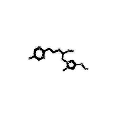 CSC(C[n+]1cc(OC(C)C)cn1C)OCCc1ncc(F)cn1